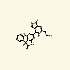 Cn1ncc2c1N=C(CCC(F)(F)F)NC2c1nc(N)c2c(n1)NC(=O)C2(C)c1ccccc1